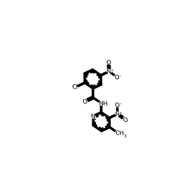 Cc1ccnc(NC(=O)c2cc([N+](=O)[O-])ccc2Cl)c1[N+](=O)[O-]